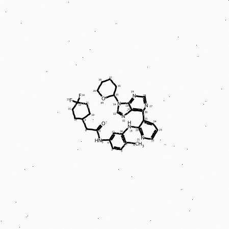 Cc1ccc(NC(=O)CC2CCC(F)(F)CC2)cc1Nc1ncccc1-c1ncnc2c1ncn2C1CCCCO1